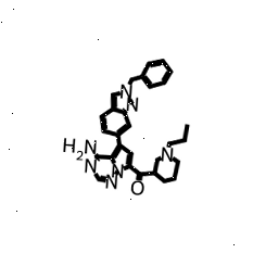 CCCN1CCCC(C(=O)c2cc(-c3ccc4cn(Cc5ccccc5)nc4c3)c3c(N)ncnn23)C1